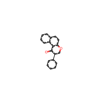 O=c1c(-c2ccccc2)coc2ccc3ccccc3c12